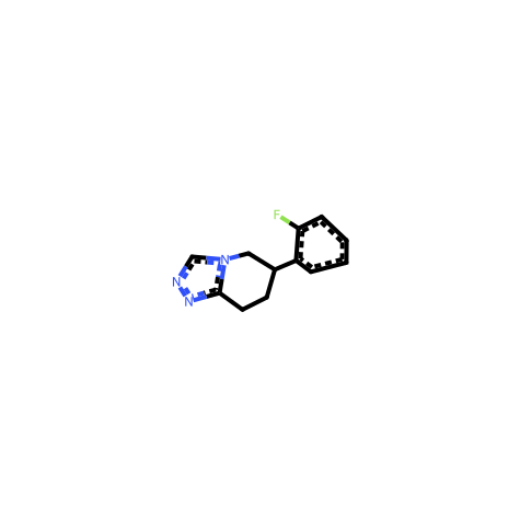 Fc1ccccc1C1CCc2nncn2C1